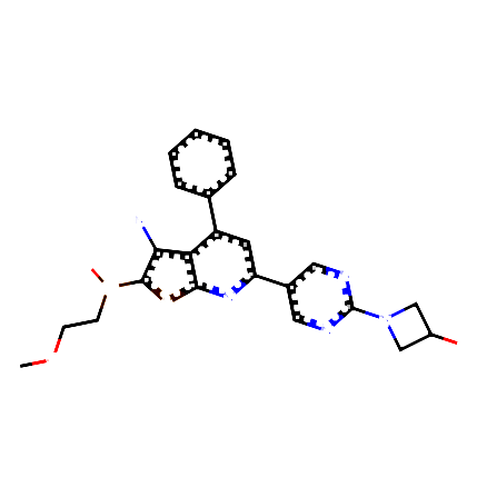 COCC[S+]([O-])c1sc2nc(-c3cnc(N4CC(O)C4)nc3)cc(-c3ccccc3)c2c1N